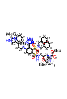 COc1ccc(Cn2nnnc2-c2c(N3CCC(c4c[nH]cn4)CC3)ccc(S(=O)(=O)NCC(CNC(=O)OC(C)(C)C)O[Si](C)(C)C(C)(C)C)c2S(=O)(=O)N(Cc2ccccc2)Cc2ccccc2)cc1